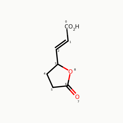 O=C(O)C=CC1CCC(=O)O1